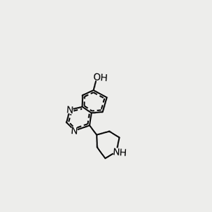 Oc1ccc2c(C3CCNCC3)ncnc2c1